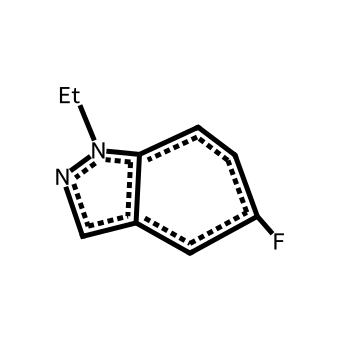 CCn1ncc2cc(F)ccc21